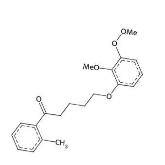 COOc1cccc(OCCCCC(=O)c2ccccc2C)c1OC